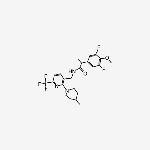 COc1c(F)cc(C(C)C(=O)NCc2ccc(C(F)(F)F)nc2N2CCC(C)CC2)cc1F